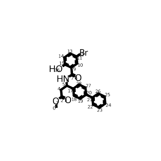 COC(=O)CC(NC(=O)c1cc(Br)ccc1O)c1ccc(-c2ccccc2)cc1